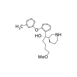 COCCCC[C@@](O)(c1ccccc1Oc1cccc(C)c1)[C@@H]1CCCNC1